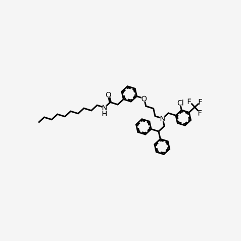 CCCCCCCCCCNC(=O)Cc1cccc(OCCCN(Cc2cccc(C(F)(F)F)c2Cl)CC(c2ccccc2)c2ccccc2)c1